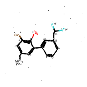 N#Cc1cc(Br)c(O)c(-c2cccc(C(F)F)c2)c1